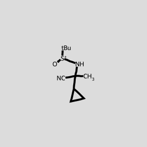 CC(C#N)(N[S+]([O-])C(C)(C)C)C1CC1